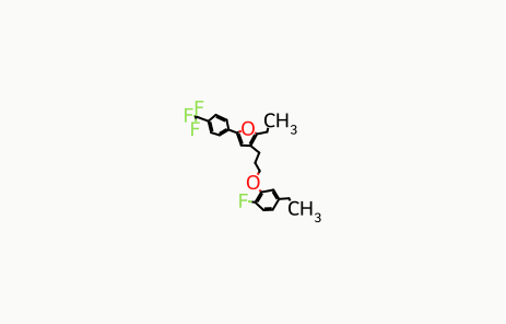 CCc1ccc(F)c(OCCCc2cc(-c3ccc(C(F)(F)F)cc3)oc2CC)c1